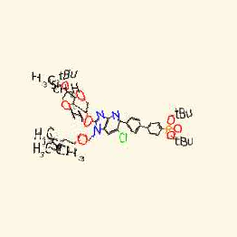 CC(C)(C)OP(=O)(OC(C)(C)C)c1ccc(-c2ccc(-c3nc4nc(O[C@@H]5CO[C@H]6[C@@H]5OC[C@H]6O[Si](C)(C)C(C)(C)C)n(COCC[Si](C)(C)C)c4cc3Cl)cc2)cc1